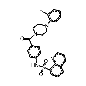 O=C(c1ccc(NS(=O)(=O)c2cccc3cccnc23)cc1)N1CCN(c2ccccc2F)CC1